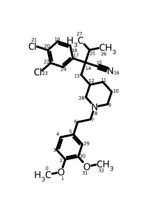 COc1ccc(CCN2CCCC(CC(C#N)(c3ccc(Cl)c(Cl)c3)C(C)C)C2)cc1OC